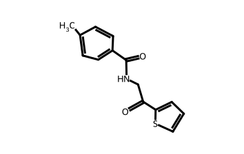 Cc1ccc(C(=O)NCC(=O)c2cccs2)cc1